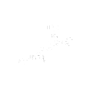 Cc1c(COc2cc(OCc3cncc(C#N)c3)c(CNCCCC(=O)O)cc2Cl)cccc1-c1cccc(-c2ccc(CNCCCC(=O)O)c(OC(F)F)c2)c1C